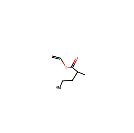 C=COC(=O)C(C)CCC(C)CC